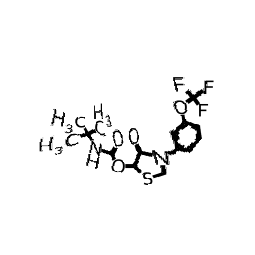 CC(C)(C)NC(=O)OC1SCN(c2cccc(OC(F)(F)F)c2)C1=O